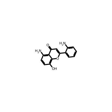 Nc1ccccc1-c1cc(=O)c2c(N)ccc(O)c2o1